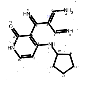 N=C/C(=C\N)C(=N)c1c(NC2CCCC2)cc[nH]c1=O